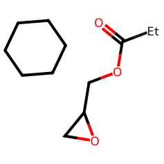 C1CCCCC1.CCC(=O)OCC1CO1